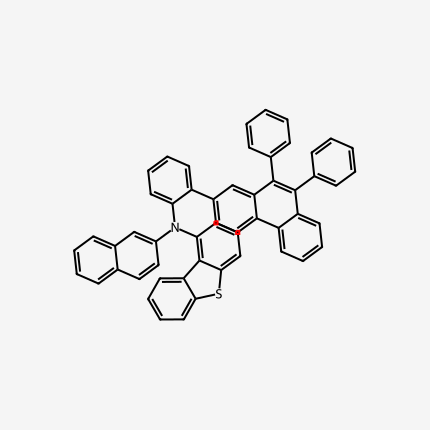 c1ccc(-c2c(-c3ccccc3)c3cc(-c4ccccc4N(c4ccc5ccccc5c4)c4cccc5sc6ccccc6c45)ccc3c3ccccc23)cc1